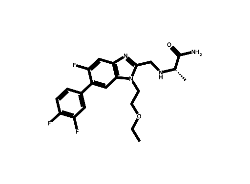 CCOCCn1c(CN[C@@H](C)C(N)=O)nc2cc(F)c(-c3ccc(F)c(F)c3)cc21